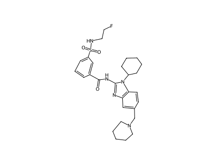 O=C(Nc1nc2cc(CN3CCCCC3)ccc2n1C1CCCCC1)c1cccc(S(=O)(=O)NCCF)c1